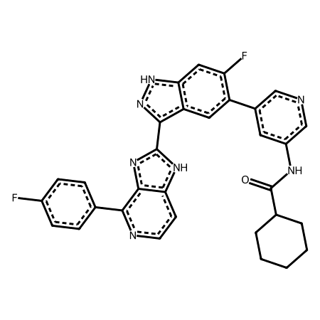 O=C(Nc1cncc(-c2cc3c(-c4nc5c(-c6ccc(F)cc6)nccc5[nH]4)n[nH]c3cc2F)c1)C1CCCCC1